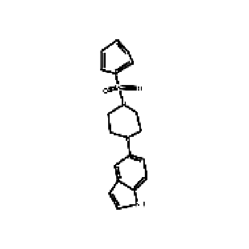 O=S(=O)(c1ccccc1)N1CCN(c2ccc3[nH]ccc3c2)CC1